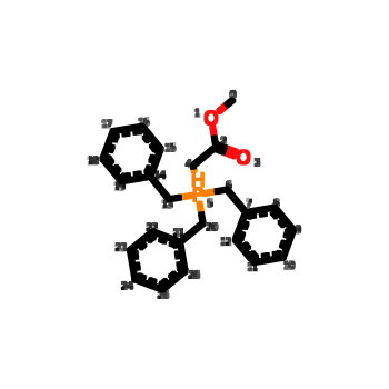 COC(=O)C[PH](Cc1ccccc1)(Cc1ccccc1)Cc1ccccc1